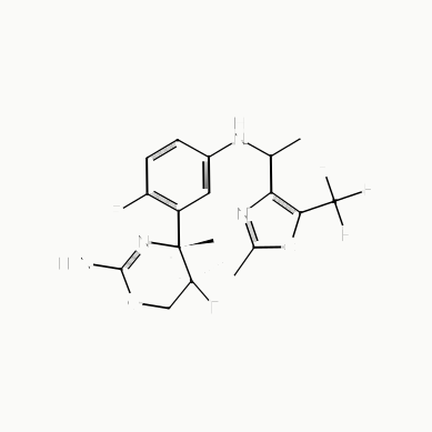 Cc1nc(C(C)Nc2ccc(F)c([C@@]3(C)N=C(N)OC[C@]3(C)F)c2)c(C(F)(F)F)o1